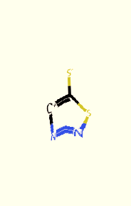 [S-]C1=[C+]N=NS1